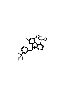 COC(=O)c1cccc2c1c1c(O)cc(C)cc1n2Cc1cccc(C(F)(F)F)c1